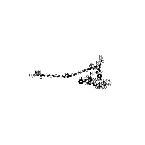 CC[C@H](C)[C@@H]([C@@H](CC(=O)N1CCC[C@H]1[C@H](OC)[C@@H](C)C(=O)N[C@H](C)[C@@H](O)c1ccccc1)OC)N(C)C(=O)[C@@H](NC(=O)[C@H](C(C)C)N(C)C(=O)OCc1ccc(NC(=O)[C@H](CCCNC(N)=O)NC(=O)[C@@H](NC(=O)CCOCCOCCOCCOCc2cn(CCOCCOCCOCCOCCC(=O)NC[SH](C)C)nn2)C(C)C)cc1)C(C)C